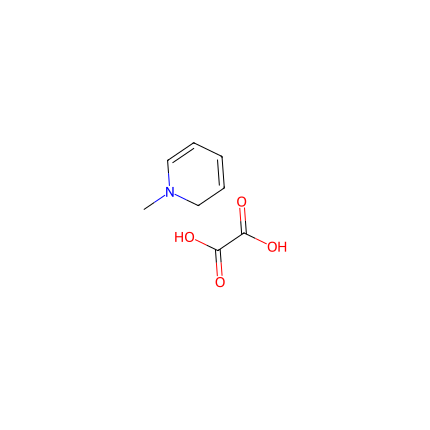 CN1C=CC=CC1.O=C(O)C(=O)O